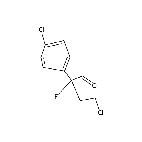 O=CC(F)(CCCl)c1ccc(Cl)cc1